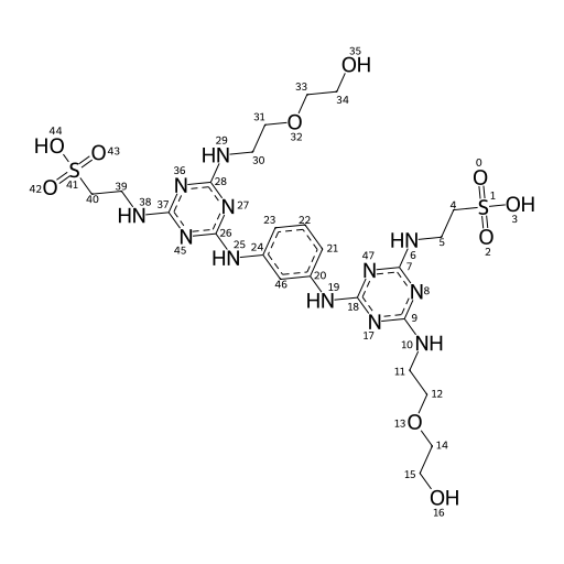 O=S(=O)(O)CCNc1nc(NCCOCCO)nc(Nc2cccc(Nc3nc(NCCOCCO)nc(NCCS(=O)(=O)O)n3)c2)n1